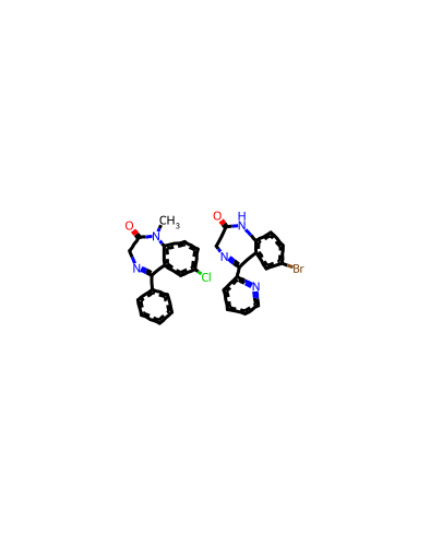 CN1C(=O)CN=C(c2ccccc2)c2cc(Cl)ccc21.O=C1CN=C(c2ccccn2)c2cc(Br)ccc2N1